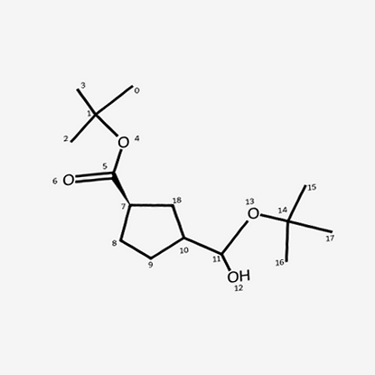 CC(C)(C)OC(=O)[C@@H]1CCC(C(O)OC(C)(C)C)C1